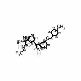 CC(C)[C@](N)(C(=O)NCC(F)(F)F)c1cncc(-c2c[nH]c3ncc(OCC4CCN(C)CC4)cc23)c1